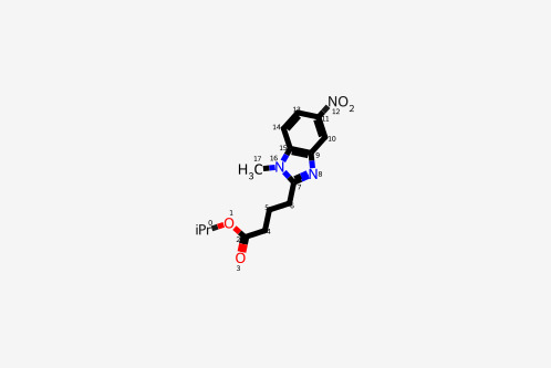 CC(C)OC(=O)CCCc1nc2cc([N+](=O)[O-])ccc2n1C